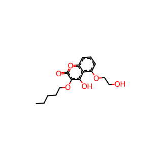 CCCCCOc1c(O)c2c(OCCO)cccc2oc1=O